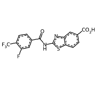 O=C(O)c1ccc2sc(NC(=O)c3ccc(C(F)(F)F)c(F)c3)nc2c1